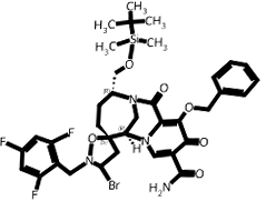 CC(C)(C)[Si](C)(C)OC[C@H]1CC[C@]2(CC(Br)N(Cc3c(F)cc(F)cc3F)O2)[C@H]2CN1C(=O)c1c(OCc3ccccc3)c(=O)c(C(N)=O)cn12